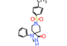 Cc1ccc(S(=O)(=O)N2CCC3(CC2)C(=O)NCN3c2ccccc2)cc1